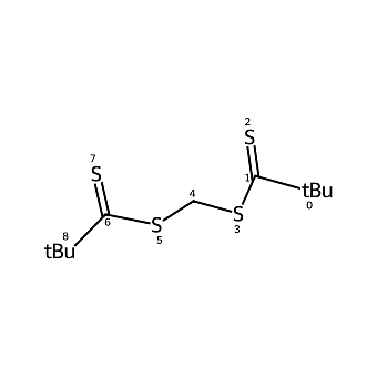 CC(C)(C)C(=S)SCSC(=S)C(C)(C)C